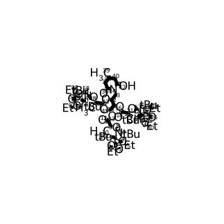 CCOP(=O)(OCC)C(N(OC(C)C(=O)OCC(OC(=O)C(C)ON(C(C(C)(C)C)P(=O)(OCC)OCC)C(C)(C)C)C(CN1C(=O)C[C@@H](C)C[C@H]1O)OC(=O)C(C)ON(C(C(C)(C)C)P(=O)(OCC)OCC)C(C)(C)C)C(C)(C)C)C(C)(C)C